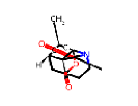 C[C@@H]1C[C@H]2CC(=O)O[C@]3(C1)N1CCCC(=O)[C@]23CCC1